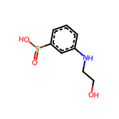 O=S(O)c1cccc(NCCO)c1